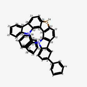 c1ccc(-c2ccc3c(c2)c2ccc4sc5ccc6c7ccccc7n(-c7ccccc7)c6c5c4c2n3-c2ccccc2)cc1